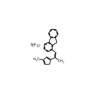 CC1=CCC(C(C)=Cc2cccc3c2Cc2ccccc2-3)=C1.[Cl-].[Cl-].[Zr+2]